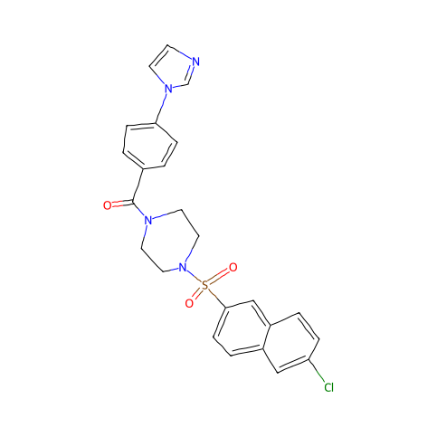 O=C(c1ccc(-n2ccnc2)cc1)N1CCN(S(=O)(=O)c2ccc3cc(Cl)ccc3c2)CC1